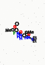 CCN(CC)CCNC(=O)c1ccc(NC(=O)Nc2ccc(Oc3ccccc3)c(OC)c2F)cc1OC